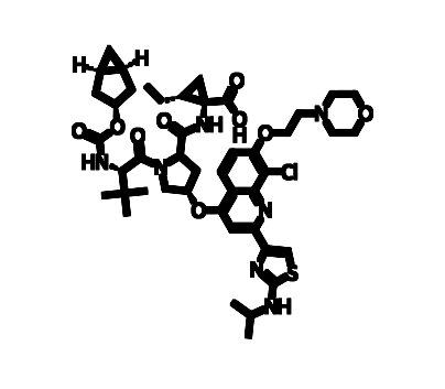 CC[C@@H]1C[C@]1(NC(=O)C1C[C@@H](Oc2cc(-c3csc(NC(C)C)n3)nc3c(Cl)c(OCCN4CCOCC4)ccc23)CN1C(=O)[C@@H](NC(=O)O[C@@H]1C[C@@H]2C[C@@H]2C1)C(C)(C)C)C(=O)O